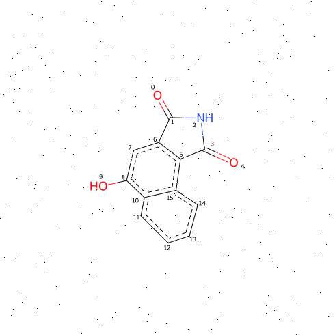 O=C1NC(=O)c2c1cc(O)c1ccccc21